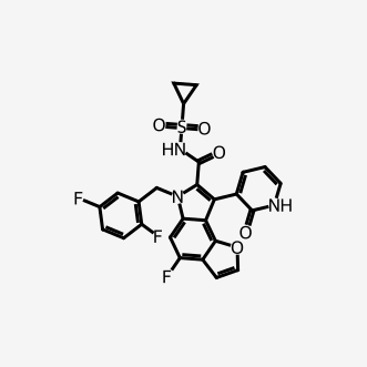 O=C(NS(=O)(=O)C1CC1)c1c(-c2ccc[nH]c2=O)c2c3occc3c(F)cc2n1Cc1cc(F)ccc1F